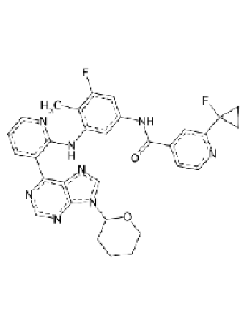 Cc1c(F)cc(NC(=O)c2ccnc(C3(F)CC3)c2)cc1Nc1ncccc1-c1ncnc2c1ncn2C1CCCCO1